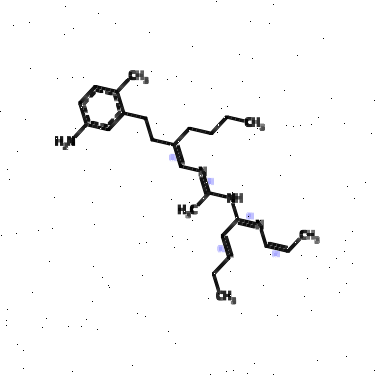 C\C=C/N=C(\C=C\CC)N/C(C)=N/C=C(\CCCC)CCc1cc(N)ccc1C